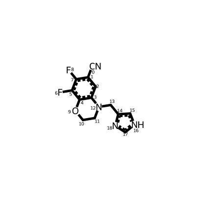 N#Cc1cc2c(c(F)c1F)OCCN2Cc1c[nH]cn1